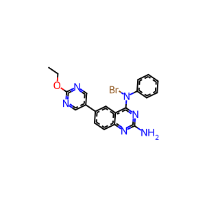 CCOc1ncc(-c2ccc3nc(N)nc(N(Br)c4ccccc4)c3c2)cn1